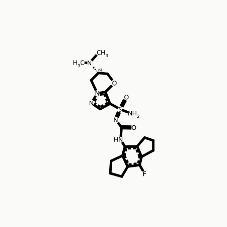 CN(C)[C@@H]1COc2c(S(N)(=O)=NC(=O)Nc3c4c(c(F)c5c3CCC5)CCC4)cnn2C1